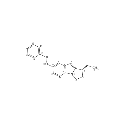 CC[C@H]1CCn2c1cc1cc(OCc3ccccc3)ccc12